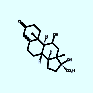 C[C@]12CCC(=O)C=C1CC[C@@H]1[C@@H]2[C@@H](O)C[C@@]2(C)[C@H]1CC[C@@]2(O)C(=O)O